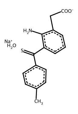 Cc1ccc(C(=S)c2cccc(CC(=O)[O-])c2N)cc1.O.[Na+]